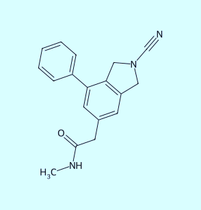 CNC(=O)Cc1cc2c(c(-c3ccccc3)c1)CN(C#N)C2